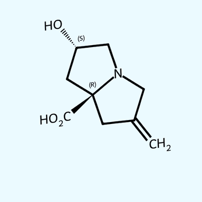 C=C1CN2C[C@@H](O)C[C@@]2(C(=O)O)C1